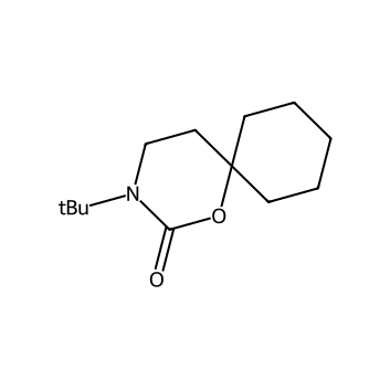 CC(C)(C)N1CCC2(CCCCC2)OC1=O